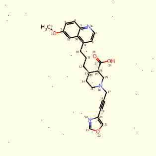 COc1ccc2nccc(CCC[C@@H]3CCN(CC#Cc4cocn4)C[C@@H]3C(=O)O)c2c1